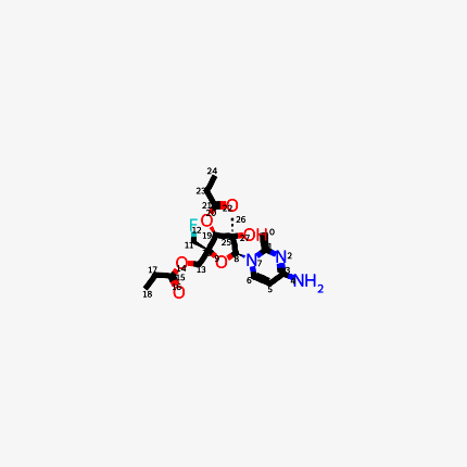 C=C1N=C(N)C=CN1[C@@H]1O[C@](CF)(COC(=O)CC)[C@@H](OC(=O)CC)[C@@]1(C)O